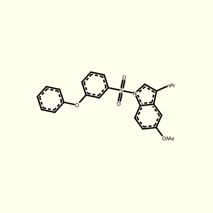 CCCc1cn(S(=O)(=O)c2cccc(Oc3ccccc3)c2)c2ccc(OC)cc12